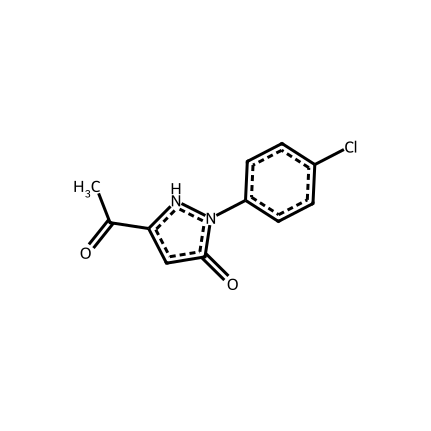 CC(=O)c1cc(=O)n(-c2ccc(Cl)cc2)[nH]1